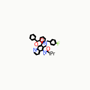 CC(C)C(=O)N(C)c1c2c(c(OC(c3ccccc3)c3ccccc3)c3ncccc13)C(=O)N(Cc1ccc(F)cc1)C2